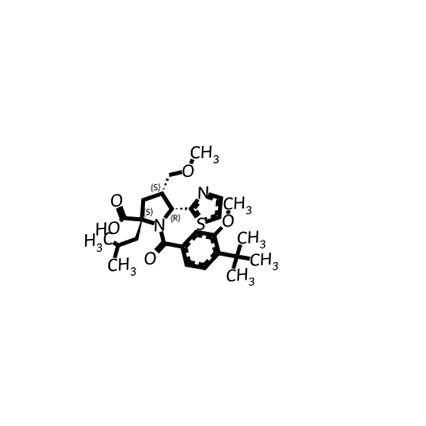 COC[C@H]1C[C@@](CC(C)C)(C(=O)O)N(C(=O)c2ccc(C(C)(C)C)c(OC)c2)[C@H]1c1nccs1